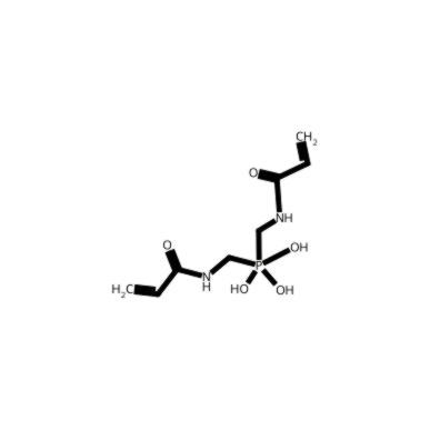 C=CC(=O)NCP(O)(O)(O)CNC(=O)C=C